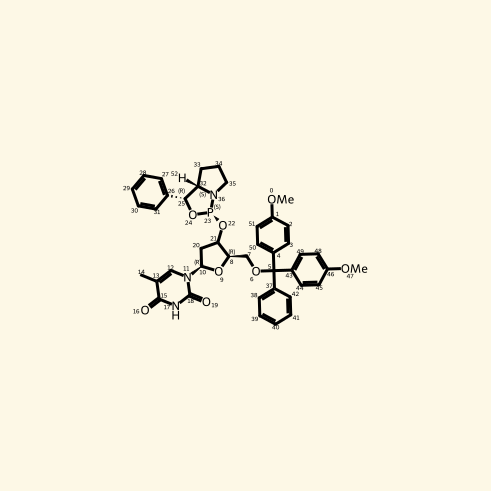 COc1ccc(C(OC[C@H]2O[C@@H](n3cc(C)c(=O)[nH]c3=O)CC2O[P@@]2O[C@H](c3ccccc3)[C@@H]3CCCN32)(c2ccccc2)c2ccc(OC)cc2)cc1